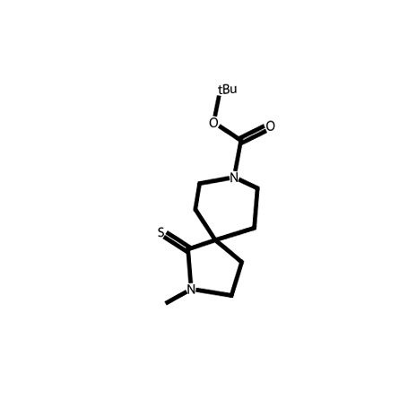 CN1CCC2(CCN(C(=O)OC(C)(C)C)CC2)C1=S